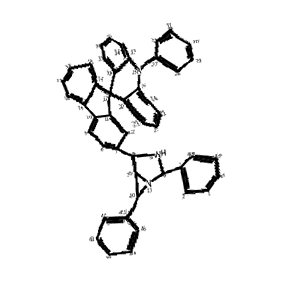 c1ccc(C2NC(c3ccc4c(c3)C3(c5ccccc5-4)c4ccccc4N(c4ccccc4)c4ccccc43)C3C(c4ccccc4)N23)cc1